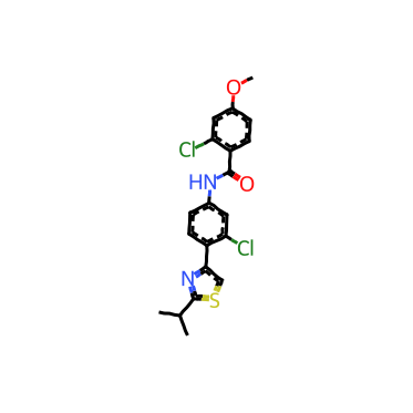 COc1ccc(C(=O)Nc2ccc(-c3csc(C(C)C)n3)c(Cl)c2)c(Cl)c1